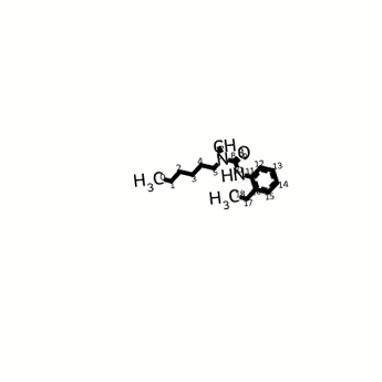 CCCCCCN(C)C(=O)Nc1ccccc1CC